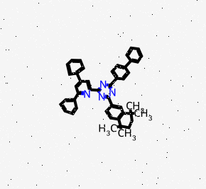 CC1(C)CCC(C)(C)c2cc(-c3nc(-c4ccc(-c5ccccc5)cc4)nc(-c4cc(-c5ccccc5)cc(-c5ccccc5)n4)n3)ccc21